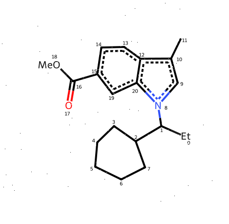 CCC(C1CCCCC1)n1cc(C)c2ccc(C(=O)OC)cc21